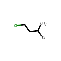 [CH2]C(CC)CCCl